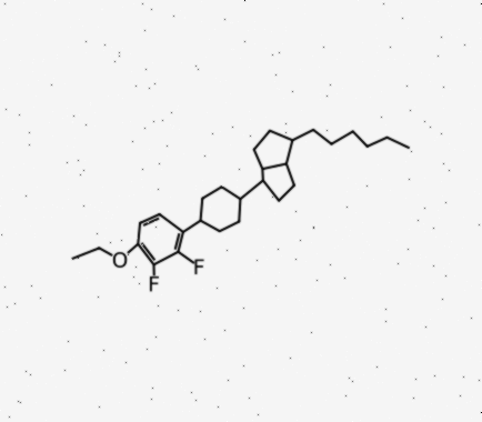 CCCCCCC1CCC2C(C3CCC(c4ccc(OCC)c(F)c4F)CC3)CCC12